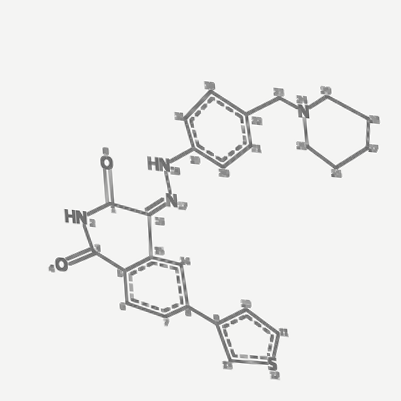 O=C1NC(=O)c2ccc(-c3ccsc3)cc2C1=NNc1ccc(CN2CCCCC2)cc1